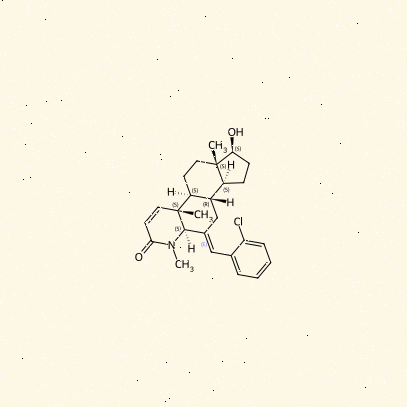 CN1C(=O)C=C[C@]2(C)[C@H]3CC[C@]4(C)[C@@H](O)CC[C@H]4[C@@H]3C/C(=C\c3ccccc3Cl)[C@@H]12